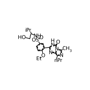 CCCc1nc(C)n2c(=O)[nH]c(-c3cc(S(=O)(=O)NC(CO)C(C)C)ccc3OCC)nc12